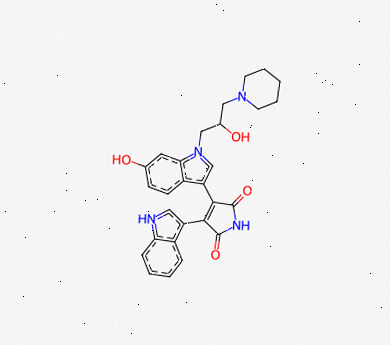 O=C1NC(=O)C(c2cn(CC(O)CN3CCCCC3)c3cc(O)ccc23)=C1c1c[nH]c2ccccc12